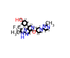 Cc1nccc(N2CCC(Oc3ncc([C@H]4CC[C@H](O)CC4)c4nc(N[C@@H](C)CC(F)(F)F)ncc34)CC2)n1